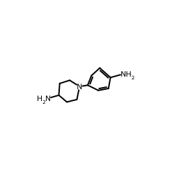 Nc1ccc(N2CCC(N)CC2)cc1